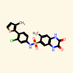 Cc1cc2[nH]c(=O)c(=O)[nH]c2cc1S(=O)(=O)Nc1ccc(-c2sccc2C)c(Cl)c1